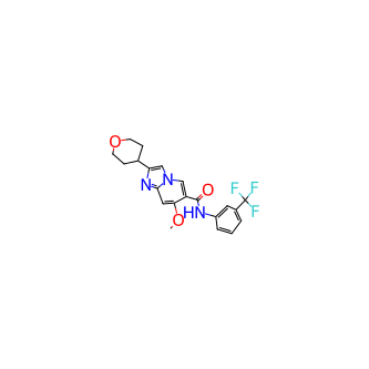 COc1cc2nc(C3CCOCC3)cn2cc1C(=O)Nc1cccc(C(F)(F)F)c1